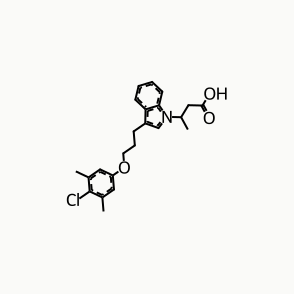 Cc1cc(OCCCc2cn(C(C)CC(=O)O)c3ccccc23)cc(C)c1Cl